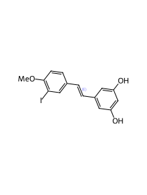 COc1ccc(/C=C/c2cc(O)cc(O)c2)cc1I